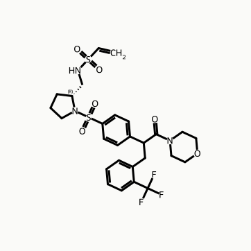 C=CS(=O)(=O)NC[C@H]1CCCN1S(=O)(=O)c1ccc(C(Cc2ccccc2C(F)(F)F)C(=O)N2CCOCC2)cc1